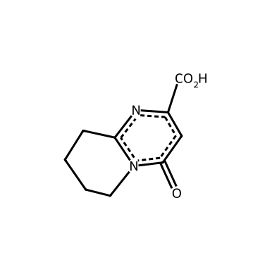 O=C(O)c1cc(=O)n2c(n1)CCCC2